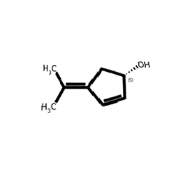 CC(C)=C1C=C[C@@H](O)C1